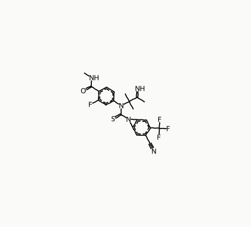 CNC(=O)c1ccc(N(C(=S)N2c3cc(C#N)c(C(F)(F)F)cc32)C(C)(C)C(C)=N)cc1F